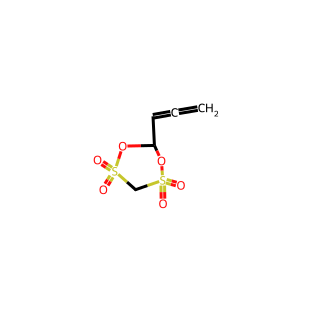 C=C=CC1OS(=O)(=O)CS(=O)(=O)O1